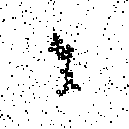 NS(=O)(=O)c1cc2c(cc1Cl)NC(CCCC(=O)NC[C@H](CO[N+](=O)[O-])O[N+](=O)[O-])=NS2(=O)=O